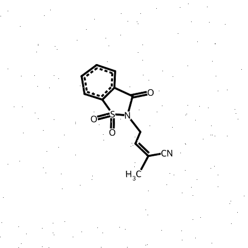 C/C(C#N)=C/CN1C(=O)c2ccccc2S1(=O)=O